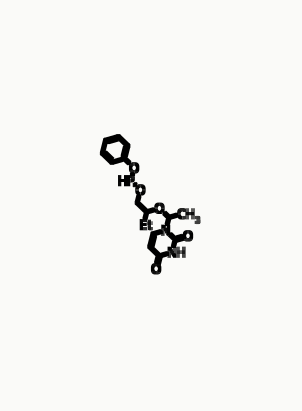 CCC(COPOc1ccccc1)OC(C)n1ccc(=O)[nH]c1=O